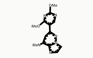 CNc1cc(-c2cnc(OC)nc2OC)nn2ccnc12